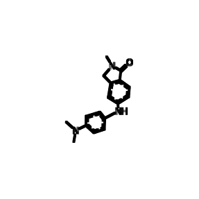 CN1Cc2cc(Nc3ccc(N(C)C)cc3)ccc2C1=O